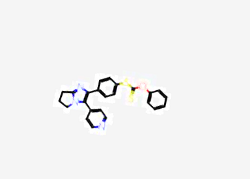 S=C(Oc1ccccc1)Sc1ccc(-c2nc3n(c2-c2ccncc2)CCC3)cc1